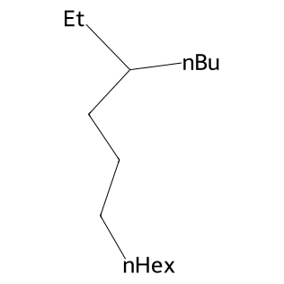 [CH2]CCCCCCCCC(CC)CCC[CH2]